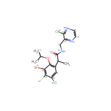 CC(C)Oc1c(C(C)C(=O)NCc2nccnc2Cl)cc(Cl)c(F)c1Br